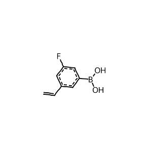 C=Cc1cc(F)cc(B(O)O)c1